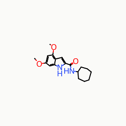 COc1cc(OC)c2cc(C(=O)NC3CCCCCC3)[nH]c2c1